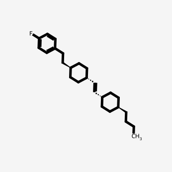 CCCC[C@H]1CC[C@H](C=C[C@H]2CC[C@H](CCc3ccc(F)cc3)CC2)CC1